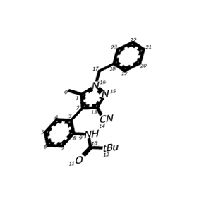 Cc1c(-c2ccccc2NC(=O)C(C)(C)C)c(C#N)nn1Cc1ccccc1